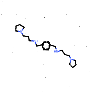 c1cc(CNCCCN2CCCC2)ccc1CNCCCN1CCCC1